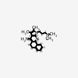 Cc1c(C)n(CCCN(C)C)c2nc3c(c(N)c12)CCc1ccccc1-3